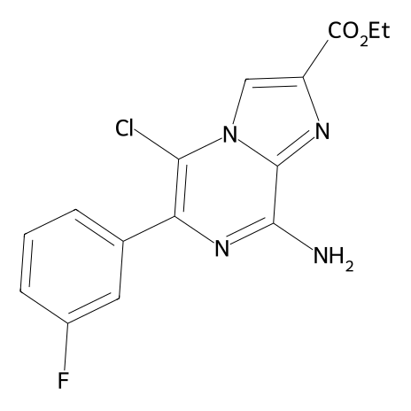 CCOC(=O)c1cn2c(Cl)c(-c3cccc(F)c3)nc(N)c2n1